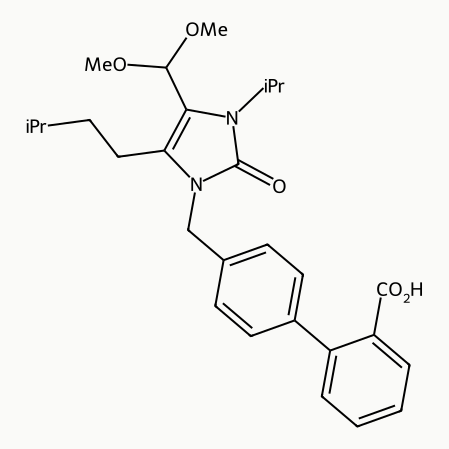 COC(OC)c1c(CCC(C)C)n(Cc2ccc(-c3ccccc3C(=O)O)cc2)c(=O)n1C(C)C